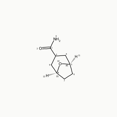 NC(=O)C1C[C@H]2CC[C@@H](C1)O2